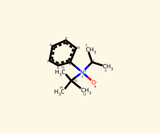 CC(C)[N+]([O])(c1ccccc1)C(C)(C)C